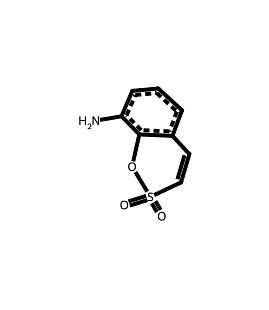 Nc1cccc2c1OS(=O)(=O)C=C2